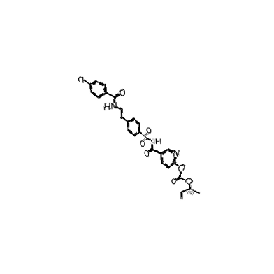 CC[C@H](C)OC(=O)Oc1ccc(C(=O)NS(=O)(=O)c2ccc(CCNC(=O)c3ccc(Cl)cc3)cc2)cn1